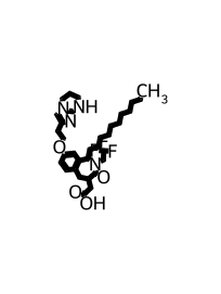 CCCCCCCCCCCC1c2cc(OCCc3cn4c(n3)NCCC4)ccc2CC(CC(=O)O)C(=O)N1CC(F)(F)F